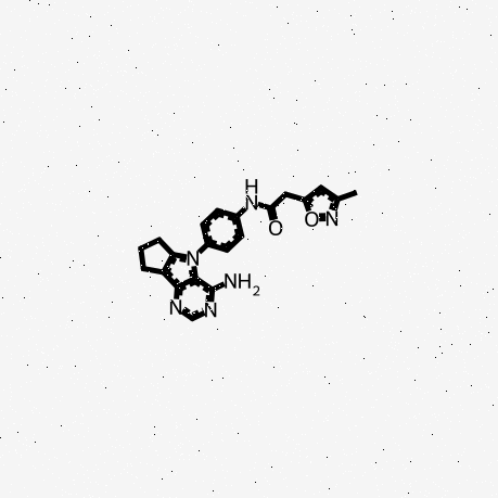 Cc1cc(CC(=O)Nc2ccc(-n3c4c(c5ncnc(N)c53)CCC4)cc2)on1